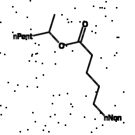 CCCCCCCCCCCCCC(=O)OC(C)CCCCC